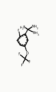 BC(B)(N)c1cc(OC(F)(F)F)ccc1F